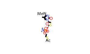 CNc1nc(=O)n([C@@H]2CS[C@H](COP(=O)(OCCSC(C)=O)N(C)C)O2)cc1C